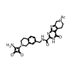 CC(=O)N1CCc2c(sc3nc(C(=O)NCc4ccc5c(c4)CN(c4c(N)c(=O)c4=O)CC5)[nH]c(=O)c23)C1